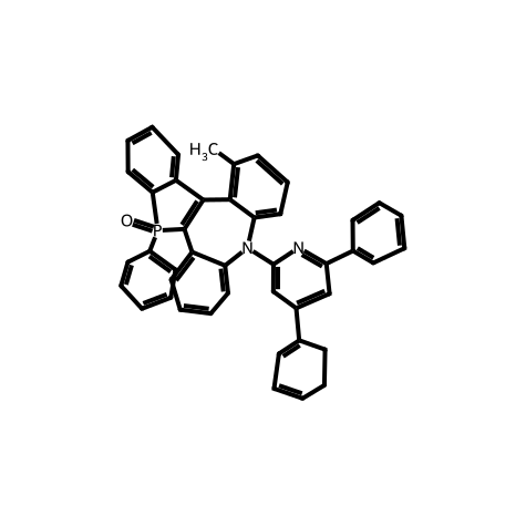 Cc1cccc2c1C1=C(c3ccccc3N2c2cc(C3=CC=CCC3)cc(-c3ccccc3)n2)P(=O)(c2ccccc2)c2ccccc21